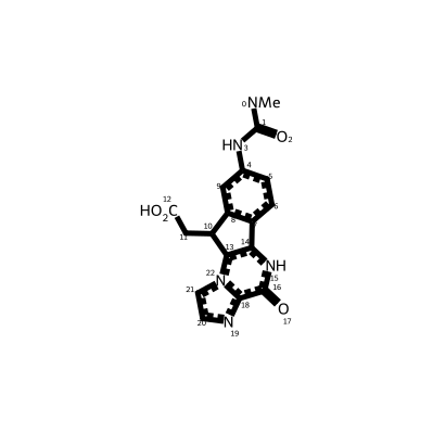 CNC(=O)Nc1ccc2c(c1)C(CC(=O)O)c1c-2[nH]c(=O)c2nccn12